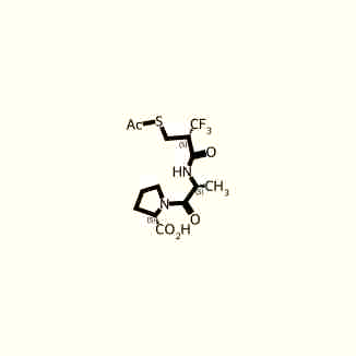 CC(=O)SC[C@@H](C(=O)N[C@@H](C)C(=O)N1CCC[C@H]1C(=O)O)C(F)(F)F